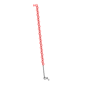 CCCCCCCCCCCCCCCCCCOCCOCCOCCOCCOCCOCCOCCOCCOCCOCCOCCOCCOCCOCCOCCOCCOCCOCCOCCOCCOCCOCCOCCOCCOCCO